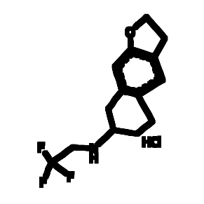 Cl.FC(F)(F)CNC1CCc2cc3c(cc2C1)OCC3